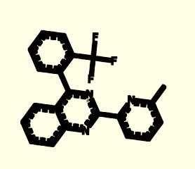 Cc1cccc(-c2nc(-c3ccccc3C(F)(F)F)c3ccccc3n2)n1